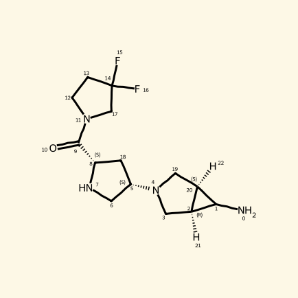 NC1[C@H]2CN([C@@H]3CN[C@H](C(=O)N4CCC(F)(F)C4)C3)C[C@@H]12